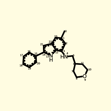 Cc1cc(NCC2CCOCC2)c2[nH]c(-c3ccccc3)cc2c1